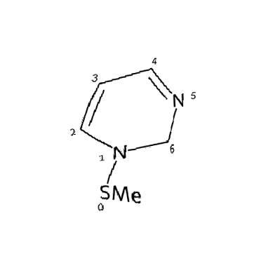 CSN1C=CC=NC1